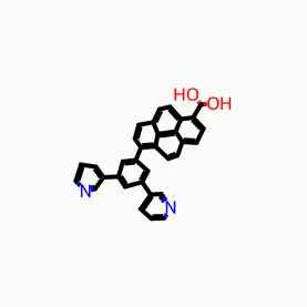 OC(O)c1ccc2ccc3c(-c4cc(-c5cccnc5)cc(-c5cccnc5)c4)ccc4ccc1c2c43